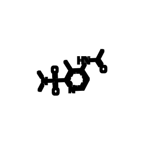 CC(=O)Nc1ccnc(S(=O)(=O)N(C)C)c1C